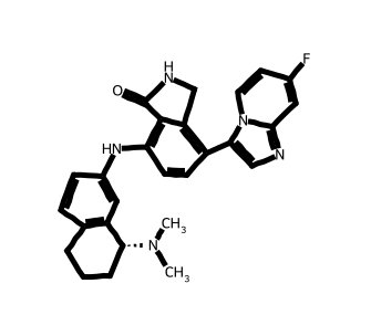 CN(C)[C@@H]1CCCc2ccc(Nc3ccc(-c4cnc5cc(F)ccn45)c4c3C(=O)NC4)cc21